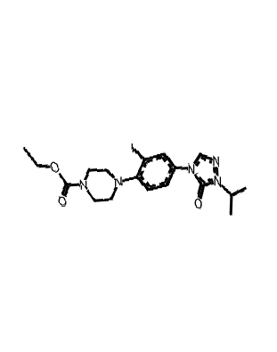 CCOC(=O)N1CCN(c2ccc(-n3cnn(C(C)C)c3=O)cc2I)CC1